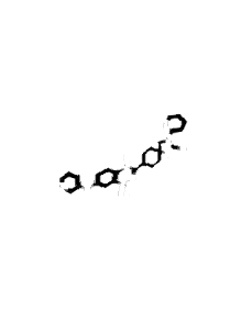 Nc1cc(Oc2cccnc2)ccc1NC(=O)C1CCC2(CC1)CN(c1ccccn1)C(=O)O2